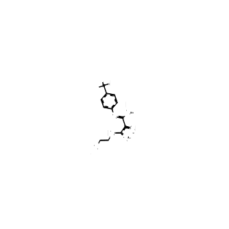 NCCNc1nonc1/C(=N/c1ccc(C(F)(F)F)cc1)NO